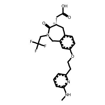 CNc1cccc(CCOc2ccc3c(c2)CN(CC(F)(F)F)C(=O)[C@H](CC(=O)O)C3)n1